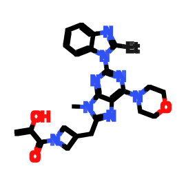 C=C(O)C(=O)N1CC(Cc2nc3c(N4CCOCC4)nc(-n4c(CC)nc5ccccc54)nc3n2C)C1